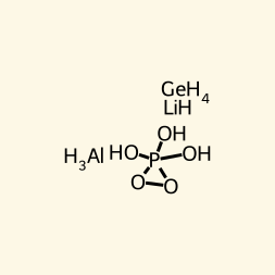 OP1(O)(O)OO1.[AlH3].[GeH4].[LiH]